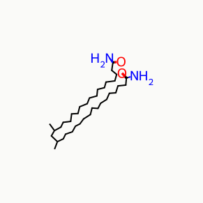 CC(CCCCCCCCCCCCCCCC(N)=O)CC(C)CCCCCCCCCCCCCCCC(N)=O